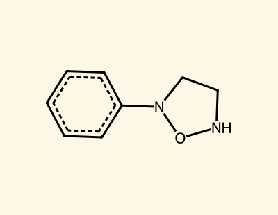 c1ccc(N2CCNO2)cc1